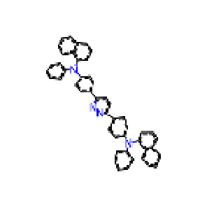 c1ccc(N(c2ccc(-c3ccc(-c4ccc(N(c5ccccc5)c5cccc6ccccc56)cc4)nn3)cc2)c2cccc3ccccc23)cc1